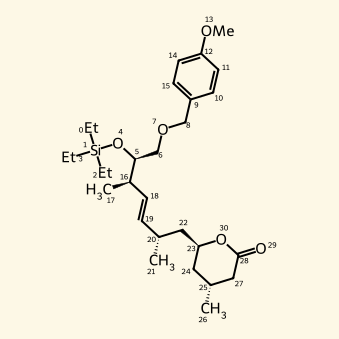 CC[Si](CC)(CC)O[C@@H](COCc1ccc(OC)cc1)[C@H](C)/C=C/[C@@H](C)C[C@@H]1C[C@@H](C)CC(=O)O1